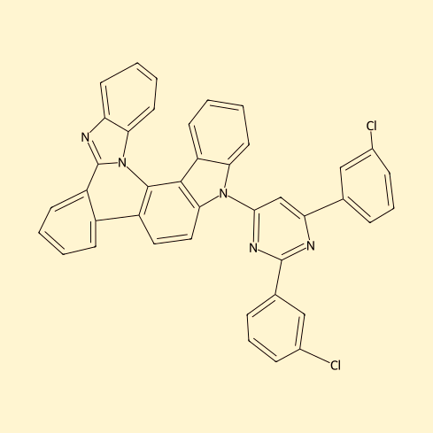 Clc1cccc(-c2cc(-n3c4ccccc4c4c3ccc3c5ccccc5c5nc6ccccc6n5c34)nc(-c3cccc(Cl)c3)n2)c1